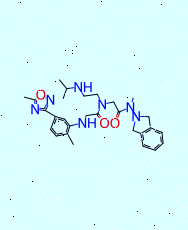 Cc1nc(-c2ccc(C)c(NCC(=O)N(CCNC(C)C)CC(=O)N(C)N3Cc4ccccc4C3)c2)no1